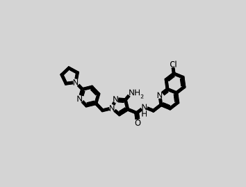 Nc1nn(Cc2ccc(N3CCCC3)nc2)cc1C(=O)NCc1ccc2ccc(Cl)cc2n1